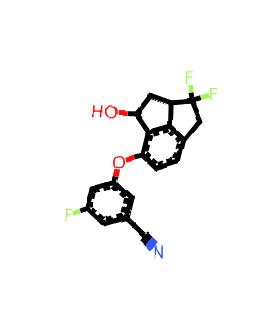 N#Cc1cc(F)cc(Oc2ccc3c4c2C(O)CC4C(F)(F)C3)c1